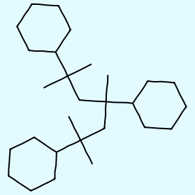 CC(C)(CC(C)(CC(C)(C)C1CCCCC1)C1CCCCC1)C1CCCCC1